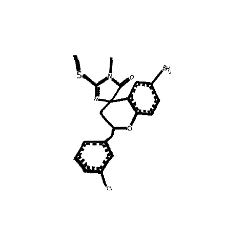 Bc1ccc2c(c1)C1(CC(c3cccc(Cl)c3)O2)N=C(SC)N(C)C1=O